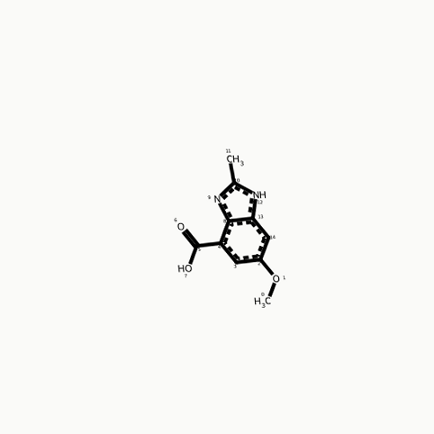 COc1cc(C(=O)O)c2nc(C)[nH]c2c1